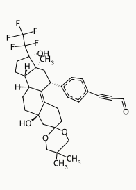 CC1(C)COC2(CCC3=C4[C@@H](CC[C@@]3(O)C2)[C@@H]2CC[C@@](O)(C(F)(F)C(F)(F)F)[C@@]2(C)C[C@@H]4c2ccc(C#CC=O)cc2)OC1